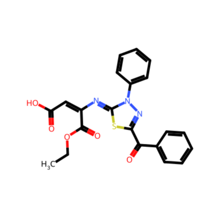 CCOC(=O)C(=CC(=O)O)N=c1sc(C(=O)c2ccccc2)nn1-c1ccccc1